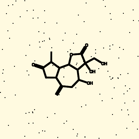 C=C1CC(O)C2C(OC(=O)C2(O)CO)C2C(C)C(=O)CC12